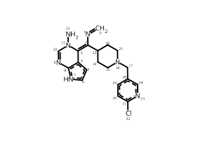 C=N/C(=C1/c2cc[nH]c2N=CN1N)C1CCN(Cc2ccc(Cl)nc2)CC1